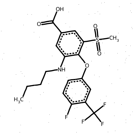 CCCCNc1cc(C(=O)O)cc(S(C)(=O)=O)c1Oc1ccc(F)c(C(F)(F)F)c1